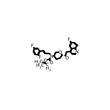 CC(C)(C)OC(=O)N(CC=Cc1cc(F)ccc1F)[C@@H]1CC[C@@H](C(=O)Cc2ccnc3ccc(F)cc23)OC1